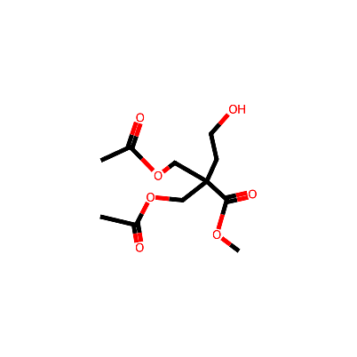 COC(=O)C(CCO)(COC(C)=O)COC(C)=O